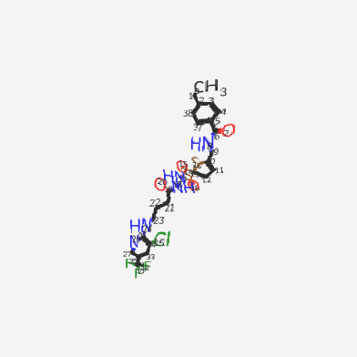 CCc1ccc(C(=O)NCc2ccc(S(=O)(=O)NNC(=O)CCCNc3ncc(C(F)(F)F)cc3Cl)s2)cc1